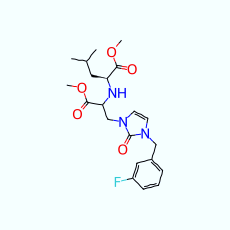 COC(=O)C(Cn1ccn(Cc2cccc(F)c2)c1=O)N[C@@H](CC(C)C)C(=O)OC